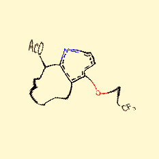 CC(=O)OC1CCCCc2c(OCC(F)(F)F)ccnc21